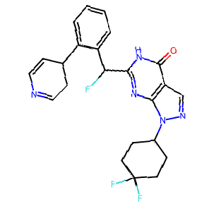 O=c1[nH]c(C(F)c2ccccc2C2C=CN=CC2)nc2c1cnn2C1CCC(F)(F)CC1